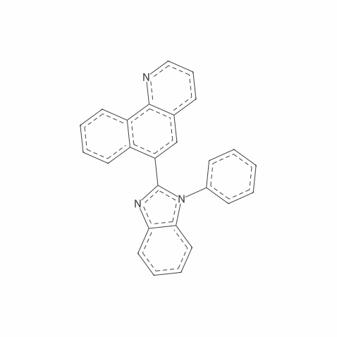 c1ccc(-n2c(-c3cc4cccnc4c4ccccc34)nc3ccccc32)cc1